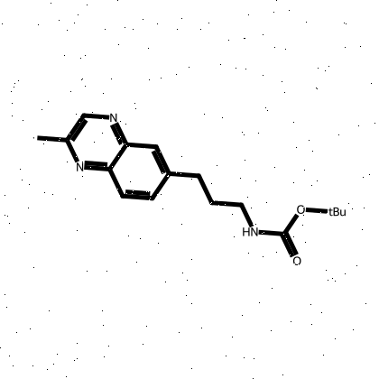 [CH2]c1cnc2cc(CCCNC(=O)OC(C)(C)C)ccc2n1